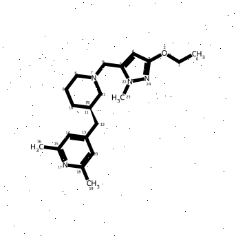 CCOc1cc(CN2CCC[C@H](Cc3cc(C)nc(C)c3)C2)n(C)n1